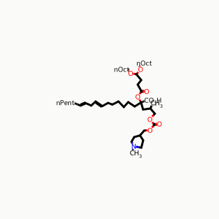 CCCCCC=CCC=CCCCCCCC(CC(C)COC(=O)OCC1CCN(C)CC1)(OC(=O)CCC(OCCCCCCCC)OCCCCCCCC)C(=O)O